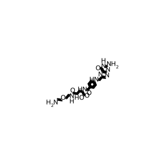 NCCOCCNC(=O)CCC(NC(=O)c1ccc(NCc2cnc3nc(N)[nH]c(=O)c3n2)cc1)C(=O)O